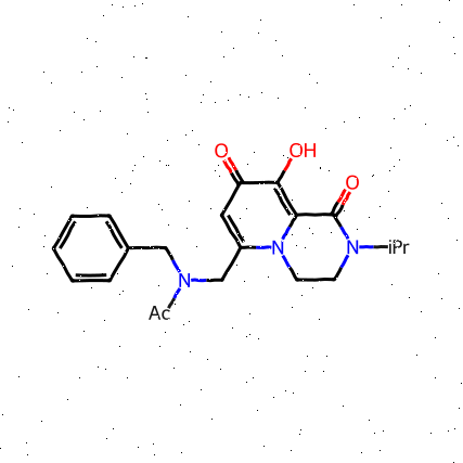 CC(=O)N(Cc1ccccc1)Cc1cc(=O)c(O)c2n1CCN(C(C)C)C2=O